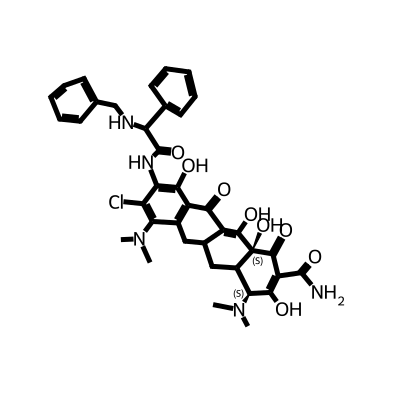 CN(C)c1c(Cl)c(NC(=O)C(NCc2ccccc2)c2ccccc2)c(O)c2c1CC1CC3[C@H](N(C)C)C(O)=C(C(N)=O)C(=O)[C@@]3(O)C(O)=C1C2=O